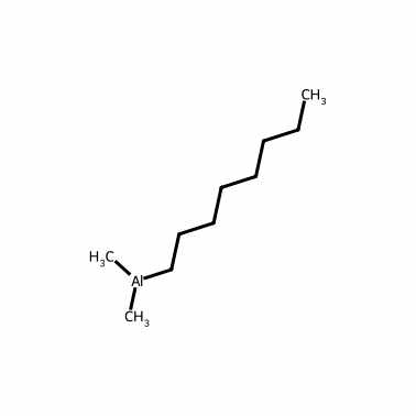 CCCCCCC[CH2][Al]([CH3])[CH3]